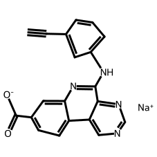 C#Cc1cccc(Nc2nc3cc(C(=O)[O-])ccc3c3cncnc23)c1.[Na+]